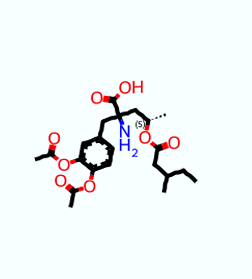 CCC(C)CC(=O)O[C@@H](C)CC(N)(Cc1ccc(OC(C)=O)c(OC(C)=O)c1)C(=O)O